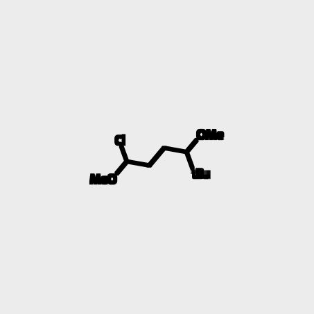 COC(Cl)CCC(OC)C(C)(C)C